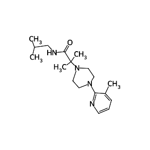 Cc1cccnc1N1CCN(C(C)(C)C(=O)NCC(C)C)CC1